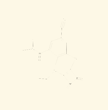 CCNc1c(Nc2cc(C#N)cc(C(=O)N(C)C)c2O)c(=O)c1=O